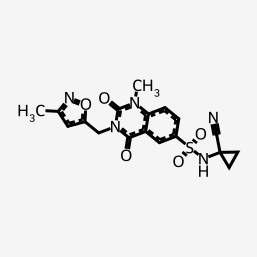 Cc1cc(Cn2c(=O)c3cc(S(=O)(=O)NC4(C#N)CC4)ccc3n(C)c2=O)on1